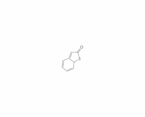 O=C1C=C2C=CC=CC2S1